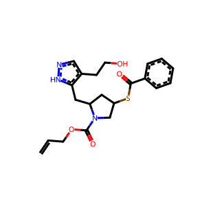 C=CCOC(=O)N1CC(SC(=O)c2ccccc2)CC1Cc1[nH]ncc1CCO